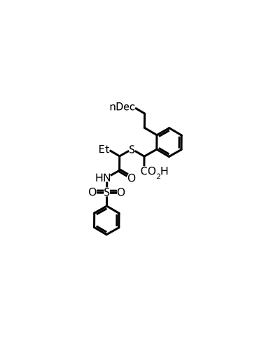 CCCCCCCCCCCCc1ccccc1C(SC(CC)C(=O)NS(=O)(=O)c1ccccc1)C(=O)O